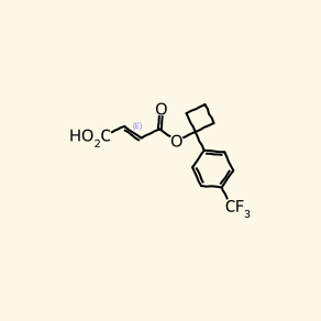 O=C(O)/C=C/C(=O)OC1(c2ccc(C(F)(F)F)cc2)CCC1